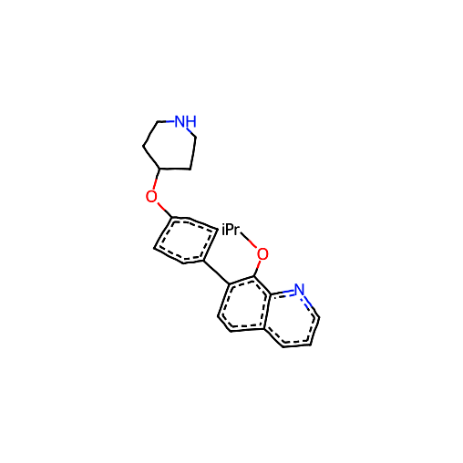 CC(C)Oc1c(-c2ccc(OC3CCNCC3)cc2)ccc2cccnc12